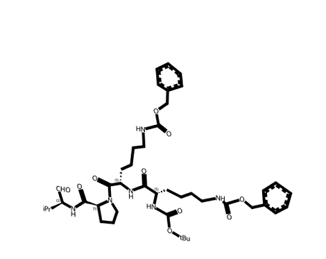 CC(C)[C@@H](C=O)NC(=O)[C@@H]1CCCN1C(=O)[C@H](CCCCNC(=O)OCc1ccccc1)NC(=O)[C@H](CCCCNC(=O)OCc1ccccc1)NC(=O)OC(C)(C)C